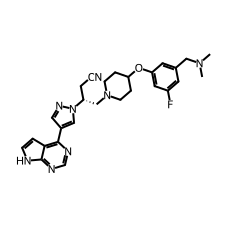 CN(C)Cc1cc(F)cc(OC2CCN(C[C@@H](CC#N)n3cc(-c4ncnc5[nH]ccc45)cn3)CC2)c1